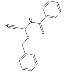 N#CC(NC(=O)c1ccccc1)OCc1ccccc1